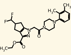 CCOC(=O)c1nn(CC(=O)N2CCN(c3cccc(C)c3C)CC2)c2c1CC(C(F)F)C2